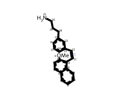 COc1ccc2ccccc2c1/C=C\c1cccc(CCCN)c1